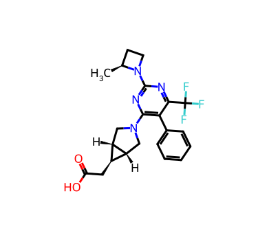 C[C@H]1CCN1c1nc(N2C[C@@H]3[C@@H](CC(=O)O)[C@@H]3C2)c(-c2ccccc2)c(C(F)(F)F)n1